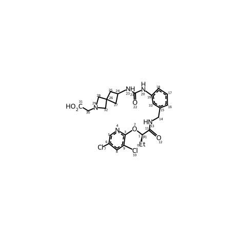 CC[C@@H](Oc1ncc(Cl)cc1Cl)C(=O)NCc1cccc(NC(=O)NC2CC3(C2)CN(CC(=O)O)C3)c1